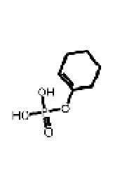 O=P(O)(O)OC1=CCCCC1